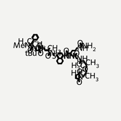 CNC(C(=O)NC(C(=O)N(C)C/C=C(\C)C(=O)NSc1ccc(NC(=O)C(CCCNC(N)=O)NC(=O)CNC(=O)CC(C)(C)COCC(C)(C)CN2C(=O)C=CC2=O)c2c1CCCC2)C(C)(C)C)C(C)(C)c1ccccc1